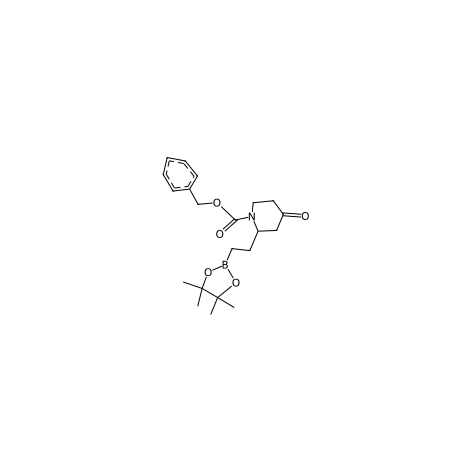 CC1(C)OB(CCC2CC(=O)CCN2C(=O)OCc2ccccc2)OC1(C)C